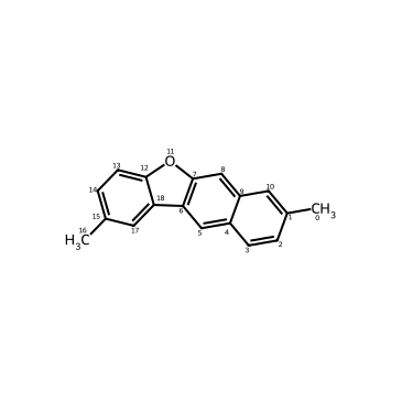 Cc1ccc2cc3c(cc2c1)oc1ccc(C)cc13